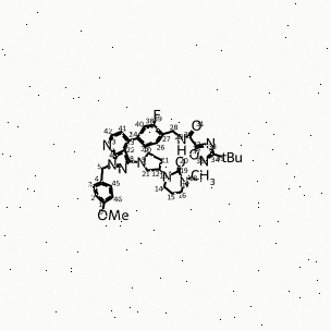 COc1ccc(Cn2nc(N3CC[C@@H](N4CCCN(C)C4=O)C3)c3c(-c4ccc(CNC(=O)c5nc(C(C)(C)C)no5)c(F)c4)ccnc32)cc1